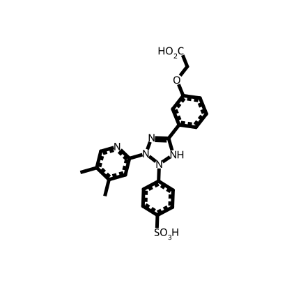 Cc1cnc(N2N=C(c3cccc(OCC(=O)O)c3)NN2c2ccc(S(=O)(=O)O)cc2)cc1C